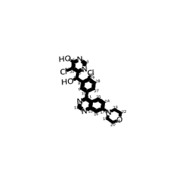 Oc1ncnc(C(O)c2cc(-c3ncnc4cc(N5CCOCC5)ccc34)ccc2Cl)c1Cl